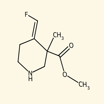 COC(=O)C1(C)CNCC/C1=C\F